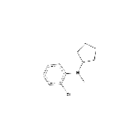 CN(c1ccccc1Br)C1CCCC1